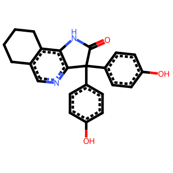 O=C1Nc2c(ncc3c2CCCC3)C1(c1ccc(O)cc1)c1ccc(O)cc1